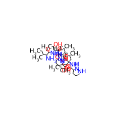 CC[C@@H](C)[C@H](N)C(=O)N[C@H](C(=O)N[C@@H](CC(C)C)C(=O)N(C=O)[C@H](C(=O)[C@@](CC(C)C)(NC(=O)C1CCCNN1)C(=O)N1NCCCC1C(=O)O)C(C)C)[C@@H](C)O